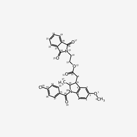 COc1ccc2c(c1)C(CC(=O)OCCN1C(=O)c3ccccc3C1=O)C(C)N2C(=O)c1ccc(Cl)cc1